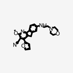 COc1nc2c(c(-c3ccco3)c1C#N)Cc1cc(NCCN3CCOCC3)ccc1-2